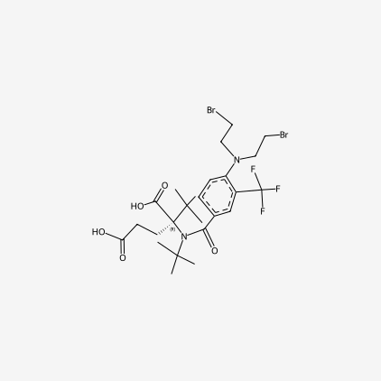 CC(C)(C)N(C(=O)c1ccc(N(CCBr)CCBr)c(C(F)(F)F)c1)[C@@](CCC(=O)O)(C(=O)O)C(C)(C)C